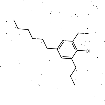 CCCCCCc1cc(CC)c(O)c(CCC)c1